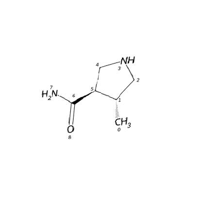 C[C@H]1CNC[C@@H]1C(N)=O